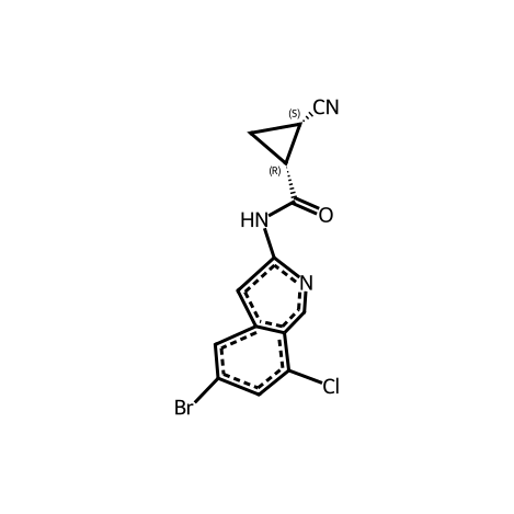 N#C[C@H]1C[C@H]1C(=O)Nc1cc2cc(Br)cc(Cl)c2cn1